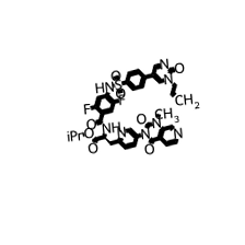 C=CCn1cc(-c2ccc(S(=O)(=O)Nc3cc(F)c(C(=O)N[C@@H](Cc4ccc(-n5c(=O)c6ccncc6n(C)c5=O)cn4)C(=O)OC(C)C)cc3F)cc2)cnc1=O